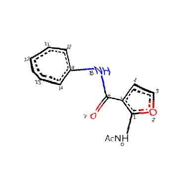 CC(=O)Nc1occc1C(=O)Nc1ccccc1